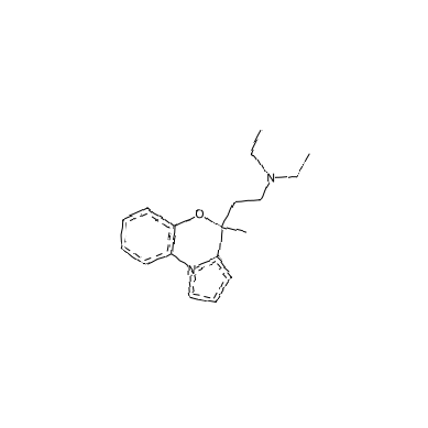 CCN(CC)CCC1(C)Oc2ccccc2-n2cccc21